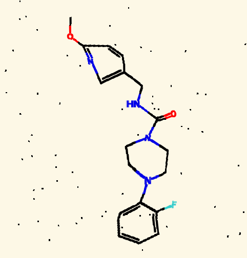 COc1ccc(CNC(=O)N2CCN(c3ccccc3F)CC2)cn1